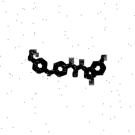 O=C(Nc1ccc(Sc2ccc(OC(F)(F)F)cc2)cc1)Nc1c[nH]c2ccc(Cl)cc12